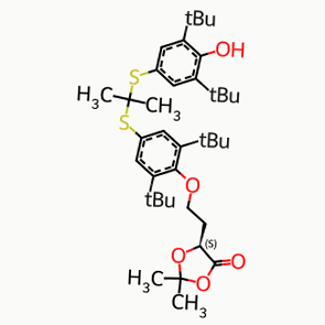 CC1(C)OC(=O)[C@H](CCOc2c(C(C)(C)C)cc(SC(C)(C)Sc3cc(C(C)(C)C)c(O)c(C(C)(C)C)c3)cc2C(C)(C)C)O1